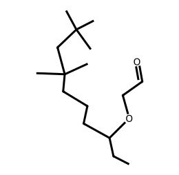 CCC(CCCC(C)(C)CC(C)(C)C)OCC=O